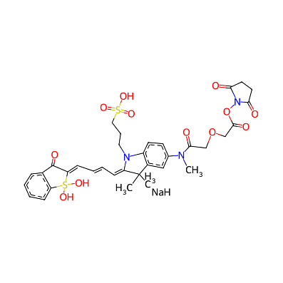 CN(C(=O)COCC(=O)ON1C(=O)CCC1=O)c1ccc2c(c1)C(C)(C)C(=CC=CC=C1C(=O)c3ccccc3S1(O)O)N2CCCS(=O)(=O)O.[NaH]